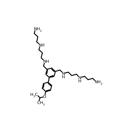 CC(C)Oc1ccc(-c2cc(CNCCCNCCCN)cc(CNCCCNCCCN)c2)cc1